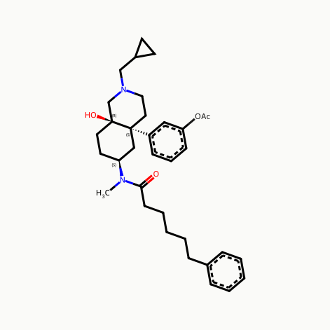 CC(=O)Oc1cccc([C@@]23CCN(CC4CC4)C[C@@]2(O)CC[C@H](N(C)C(=O)CCCCCc2ccccc2)C3)c1